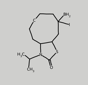 BC1(I)CCCCCC2C(C1)SC(=O)N2C(C)C